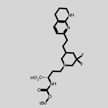 CC(C)(C)OC(=O)N[C@@H](CCN1CC(CCc2ccc3c(n2)NCCC3)CC(F)(F)C1)C(=O)O